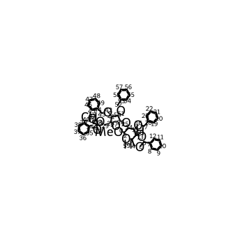 CO[C@H]1O[C@@H]2COC(c3ccccc3)O[C@H]2[C@H](OCc2ccccc2)[C@@H]1O[C@@H]1O[C@@H](COS(=O)(=O)c2ccccc2C)[C@@H](OCc2ccccc2)[C@@H]1OCc1ccccc1